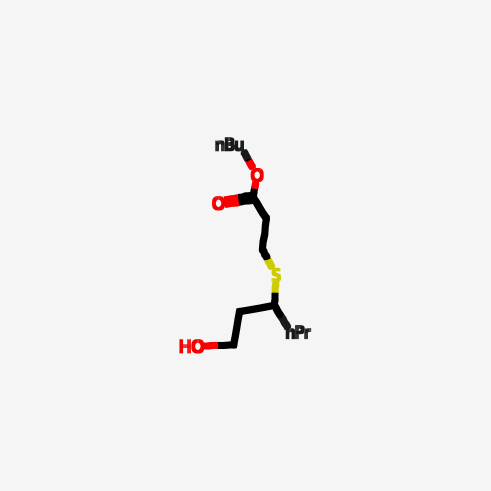 CCCCOC(=O)CCSC(CCC)CCO